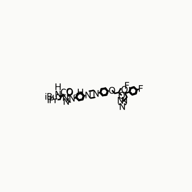 CCC(C)N[C@@](CC(C)C)(C(=O)O)n1ncn(-c2ccc(N3CCN(c4ccc(OCC5COC(Cn6cncn6)(c6ccc(F)cc6F)O5)cc4)CC3)cc2)c1=O